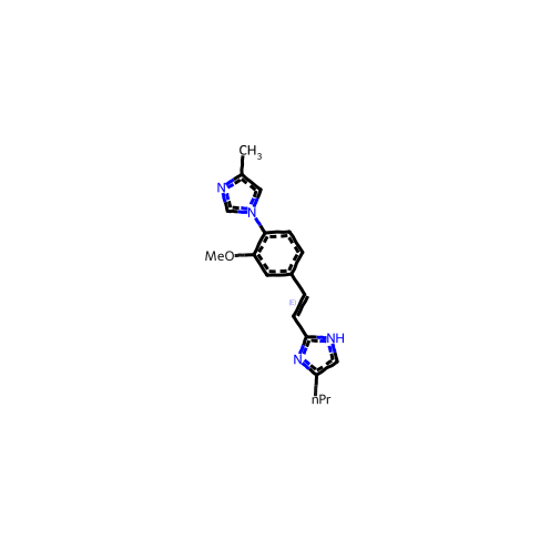 CCCc1c[nH]c(/C=C/c2ccc(-n3cnc(C)c3)c(OC)c2)n1